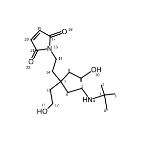 CC(C)(C)NCCC(CCO)(CCO)CCN1C(=O)C=CC1=O